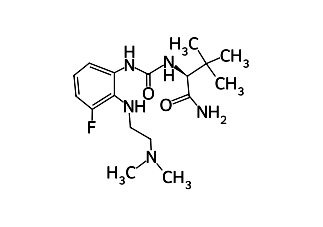 CN(C)CCNc1c(F)cccc1NC(=O)N[C@H](C(N)=O)C(C)(C)C